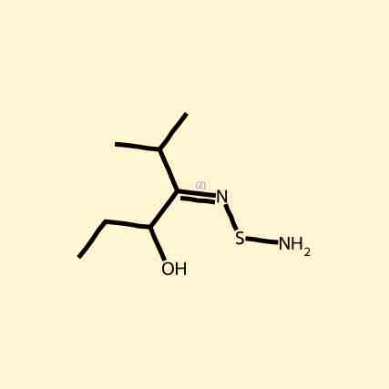 CCC(O)/C(=N\SN)C(C)C